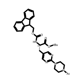 CC(=O)N1CCN(c2ncc(C[C@H](NC(=O)OCC3c4ccccc4-c4ccccc43)C(=O)OC(C)(C)C)cn2)CC1